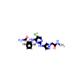 CNC(=O)Cn1cc(Nc2ncc(Br)c(N[C@H]3[C@@H](C(N)=O)[C@@H]4C=C[C@H]3C4)n2)cn1